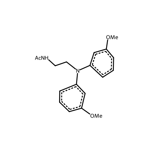 COc1cccc(N(CCNC(C)=O)c2cccc(OC)c2)c1